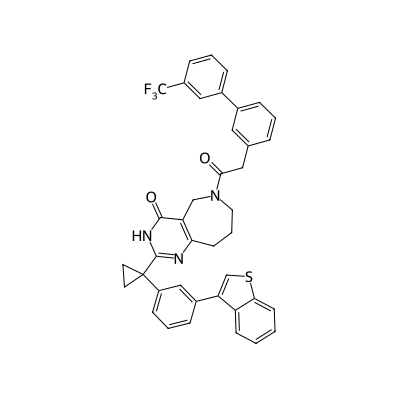 O=C(Cc1cccc(-c2cccc(C(F)(F)F)c2)c1)N1CCCc2nc(C3(c4cccc(-c5csc6ccccc56)c4)CC3)[nH]c(=O)c2C1